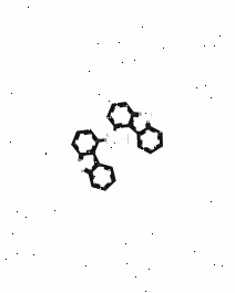 c1ccc2c(c1)oc1cccc(Nc3cccc4sc5ccccc5c34)c12